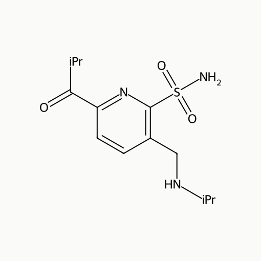 CC(C)NCc1ccc(C(=O)C(C)C)nc1S(N)(=O)=O